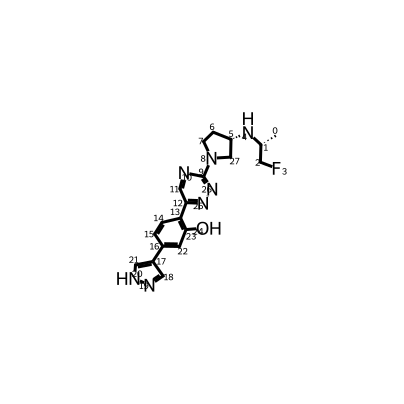 C[C@H](CF)N[C@H]1CCN(c2ncc(-c3ccc(-c4cn[nH]c4)cc3O)nn2)C1